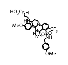 COc1ccc(CNS(=O)(=O)c2c(C(F)(F)F)ccc(N3CCC(NCCNC(=O)O)CC3)c2-c2nnnn2Cc2ccc(OC)cc2)cc1